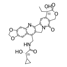 CC[C@@]1(O)C(=O)OCc2c1cc1n(c2=O)Cc2c-1nc1cc3c(cc1c2CNC(=O)[C@@H](O)C1CC1)OCO3